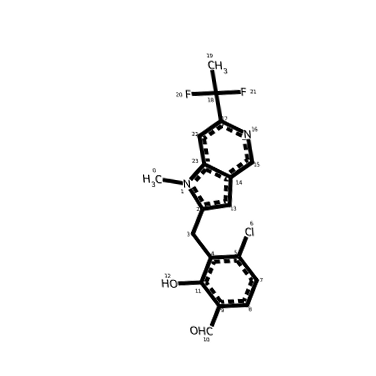 Cn1c(Cc2c(Cl)ccc(C=O)c2O)cc2cnc(C(C)(F)F)cc21